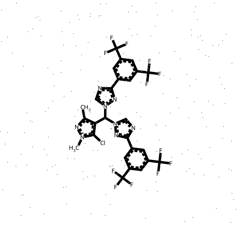 Cc1nn(C)c(Cl)c1C(n1cnc(-c2cc(C(F)(F)F)cc(C(F)(F)F)c2)n1)n1cnc(-c2cc(C(F)(F)F)cc(C(F)(F)F)c2)n1